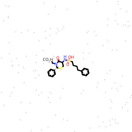 O=C(O)CN1C(=O)C(NP(=O)(O)CCCCc2ccccc2)CS[C@@H]1c1ccccc1